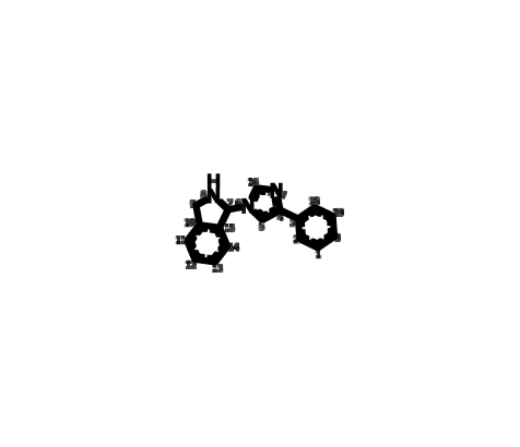 c1ccc(-c2cn(C3NCc4ccccc43)cn2)cc1